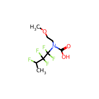 COCCN(C(=O)O)C(F)(F)C(F)(F)C(C)F